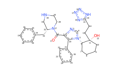 O=C(c1ncn([C@H]2CCCC[C@]2(O)CCc2nnn[nH]2)c1-c1ccccc1)N1CCNC[C@H]1Cc1ccccc1